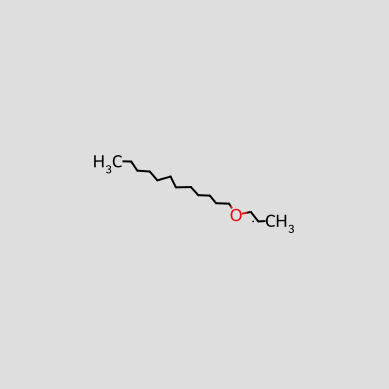 C[CH]COCCCCCCCCCCCC